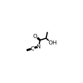 C=C=NC(=O)C(C)O